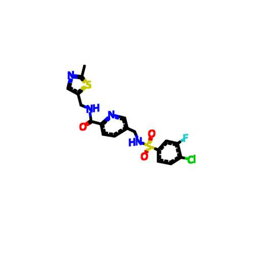 Cc1ncc(CNC(=O)c2ccc(CNS(=O)(=O)c3ccc(Cl)c(F)c3)cn2)s1